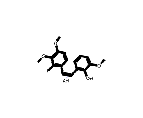 COc1cccc(/C=C\c2ccc(OC)c(OC)c2I)c1O.[KH]